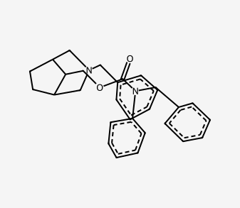 O=C(OCC1C2CCC1CN(Cc1ccccc1)C2)N(Cc1ccccc1)c1ccccc1